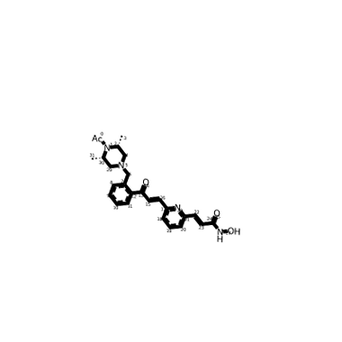 CC(=O)N1[C@H](C)CN(Cc2ccccc2C(=O)C=Cc2cccc(C=CC(=O)NO)n2)C[C@@H]1C